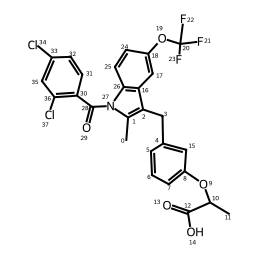 Cc1c(Cc2cccc(OC(C)C(=O)O)c2)c2cc(OC(F)(F)F)ccc2n1C(=O)c1ccc(Cl)cc1Cl